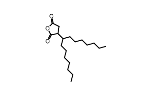 CCCCCCCC(CCCCCCC)C1CC(=O)OC1=O